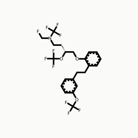 FCN(CC[C@H](COc1ccccc1CCc1cccc(OC(F)(F)F)c1)OC(F)(F)F)C(F)(F)F